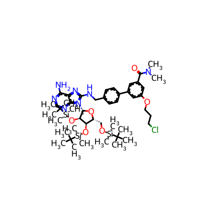 CN(C)C(=O)c1cc(OCCCCl)cc(-c2ccc(CNc3nc4c(N)ncnc4n3[C@@H]3O[C@H](CO[Si](C)(C)C(C)(C)C)[C@@H](O[Si](C)(C)C(C)(C)C)[C@H]3O[Si](C)(C)C(C)(C)C)cc2)c1